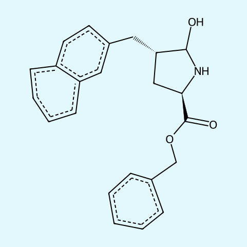 O=C(OCc1ccccc1)[C@H]1C[C@H](Cc2ccc3ccccc3c2)C(O)N1